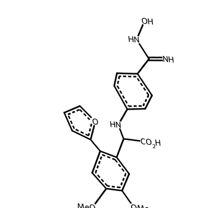 COc1cc(-c2ccco2)c(C(Nc2ccc(C(=N)NO)cc2)C(=O)O)cc1OC